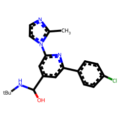 Cc1nccn1-c1cc(C(O)NC(C)(C)C)cc(-c2ccc(Cl)cc2)n1